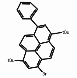 CC(C)(C)c1cc(Br)c2ccc3c(C(C)(C)C)cc(-c4ccccc4)c4ccc1c2c43